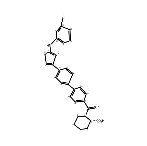 O=C(O)[C@@H]1CCCC[C@H]1C(=O)c1ccc(-c2ccc(-c3coc(Nc4cccc(Cl)c4)n3)cc2)cc1